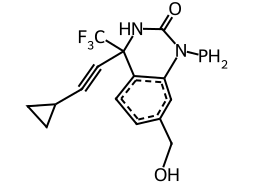 O=C1NC(C#CC2CC2)(C(F)(F)F)c2ccc(CO)cc2N1P